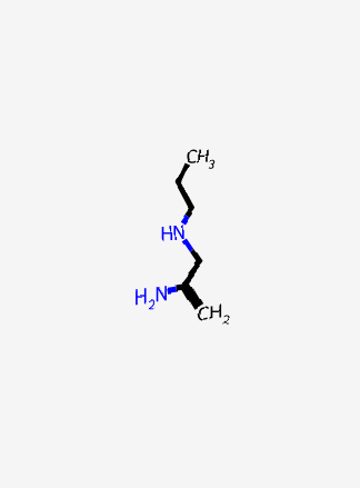 C=C(N)CNCCC